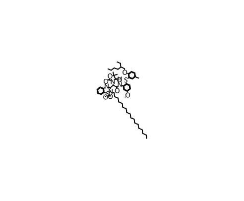 CCCCCCCCCCCCCCCCCCN1C(C(C(=O)Nc2cc(OC)ccc2Sc2cc(C)ccc2OCC(CC)CCCC)N2C(=O)OC(C)(C)C2=O)=Nc2ccccc2S1(=O)=O